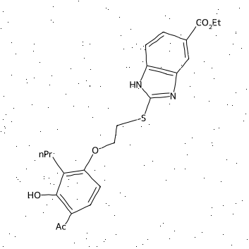 CCCc1c(OCCSc2nc3cc(C(=O)OCC)ccc3[nH]2)ccc(C(C)=O)c1O